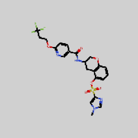 Cn1cnc(S(=O)(=O)Oc2cccc3c2CC(NC(=O)c2ccc(OCCC(F)(F)F)nc2)CO3)c1